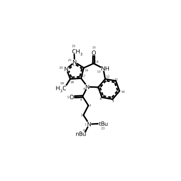 CCCCN(CCC(=O)N1c2ccccc2NC(=O)c2c1c(C)nn2C)C(C)(C)C